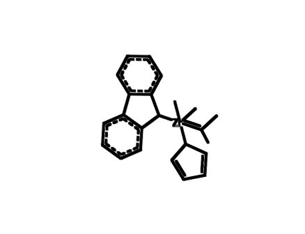 C[C](C)=[Zr]([CH3])([CH3])([CH]1C=CC=C1)[CH]1c2ccccc2-c2ccccc21